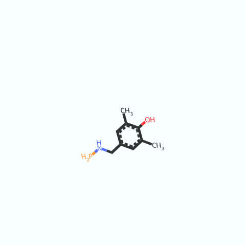 Cc1cc(CNP)cc(C)c1O